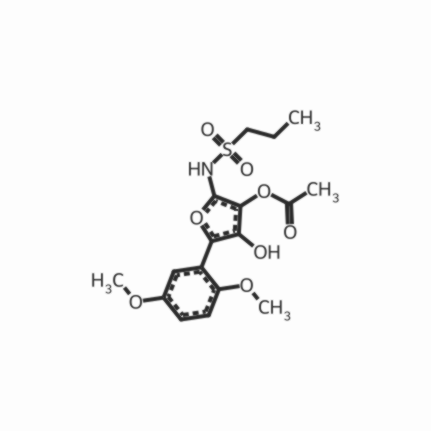 CCCS(=O)(=O)Nc1oc(-c2cc(OC)ccc2OC)c(O)c1OC(C)=O